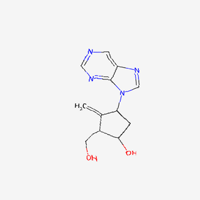 C=C1C(CO)C(O)CC1n1cnc2cncnc21